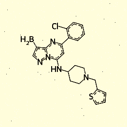 Bc1cnn2c(NC3CCN(Cc4cccs4)CC3)cc(-c3ccccc3Cl)nc12